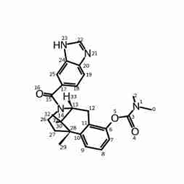 CN(C)C(=O)Oc1cccc2c1C[C@H]1N(C(=O)c3ccc4nc[nH]c4c3)CC[C@]2(C)C1(C)C